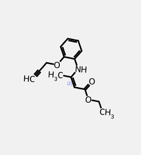 C#CCOc1ccccc1N/C(C)=C\C(=O)OCC